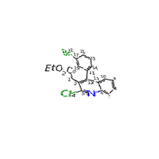 CCOC(=O)Cc1c(Cl)nc2ccccc2c1-c1cccc(Br)c1